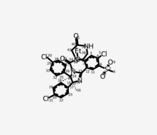 CCOc1cc(Cl)c(S(C)(=O)=O)cc1C1=N[C@@](C)(c2ccc(Cl)cc2)[C@@](C)(c2ccc(Cl)cc2)N1C(=O)N1CCNC(=O)C1